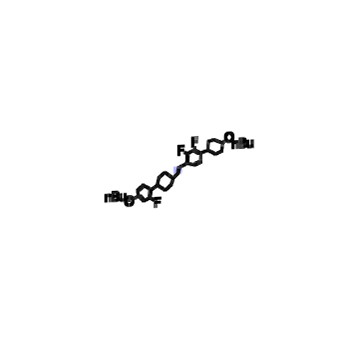 CCCCOc1ccc(C2CCC(/C=C/c3ccc(C4CCC(OCCCC)CC4)c(F)c3F)CC2)c(F)c1